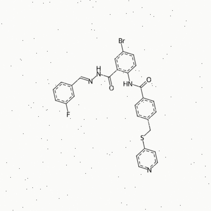 O=C(Nc1ccc(Br)cc1C(=O)N/N=C/c1cccc(F)c1)c1ccc(CSc2ccncc2)cc1